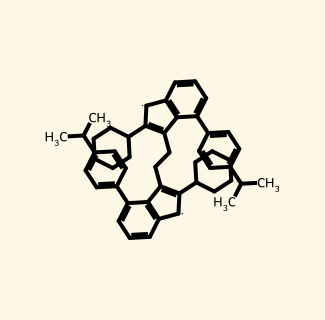 CC(C)c1ccc(-c2cccc3c2C(CCC2=C(C4CCCCC4)[CH]c4cccc(-c5ccc(C(C)C)cc5)c42)=C(C2CCCCC2)[CH]3)cc1